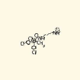 Cc1c(C(=O)NCCCCCCCNC23CC4CC(CC(C4)C2)C3)nn(-c2ccc(Cl)cc2Cl)c1-c1ccc(Cl)cc1